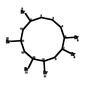 BrC1CCCC(Br)C(Br)CC(Br)C(Br)CC(Br)C1